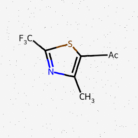 CC(=O)c1sc(C(F)(F)F)nc1C